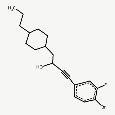 CCCC1CCC(CC(O)C#Cc2ccc(Br)c(F)c2)CC1